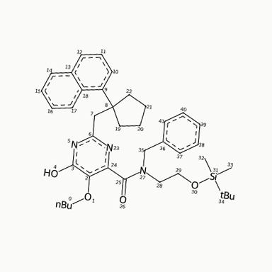 CCCCOc1c(O)nc(CC2(c3cccc4ccccc34)CCCC2)nc1C(=O)N(CCO[Si](C)(C)C(C)(C)C)Cc1ccccc1